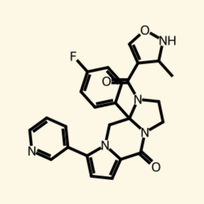 CC1NOC=C1C(=O)N1CCN2C(=O)c3ccc(-c4cccnc4)n3CC12c1ccc(F)cc1